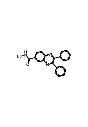 CCNC(=O)c1ccc2nc(-c3ccccc3)c(-c3ccccc3)nc2c1